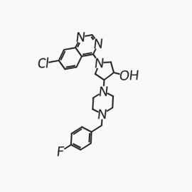 OC1CN(c2ncnc3cc(Cl)ccc23)CC1N1CCN(Cc2ccc(F)cc2)CC1